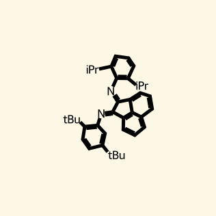 CC(C)c1cccc(C(C)C)c1N=C1C(=Nc2cc(C(C)(C)C)ccc2C(C)(C)C)c2cccc3cccc1c23